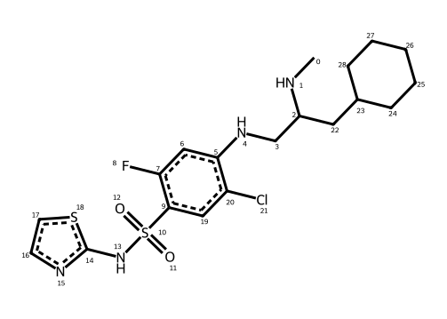 CNC(CNc1cc(F)c(S(=O)(=O)Nc2nccs2)cc1Cl)CC1CCCCC1